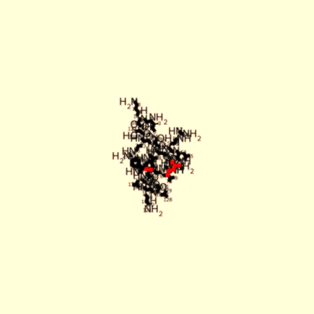 CC[C@H](C)[C@H](N)C(=O)N[C@@H](CCCCN)C(=O)N[C@H](C(=O)N[C@@H](CCCNC(=N)N)C(=O)N[C@H](C(=O)N[C@@H](Cc1c[nH]c2ccccc12)C(=O)N[C@@H](CCCNC(=N)N)C(=O)N[C@@H](CC(C)C)C(=O)N[C@@H](C)C(=O)N[C@@H](CC(C)C)C(=O)N[C@@H](CCCNC(=N)N)C(=O)N[C@@H](Cc1c[nH]c2ccccc12)C(=O)N[C@@H](CC(C)C)C(=O)N[C@@H](CCCCN)C(=O)N[C@@H](CC(C)C)C(=O)O)[C@@H](C)O)[C@@H](C)O